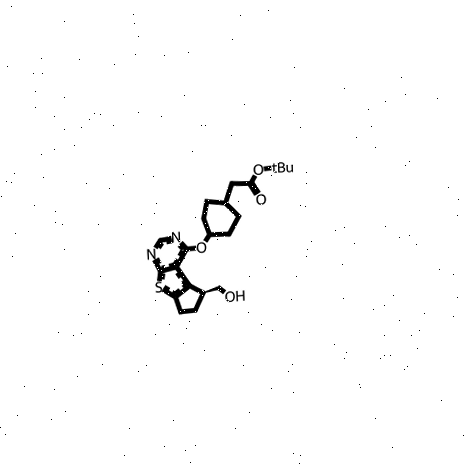 CC(C)(C)OC(=O)CC1CCC(Oc2ncnc3sc4c(c23)[C@@H](CO)CC4)CC1